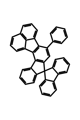 c1ccc(-c2cc3c(c4c2-c2cccc5cccc-4c25)-c2ccccc2C32c3ccccc3-c3ccccc32)cc1